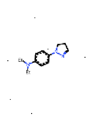 CCN(CC)c1ccc(N2CCC=N2)cc1